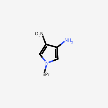 CCCn1cc(N)c([N+](=O)[O-])c1